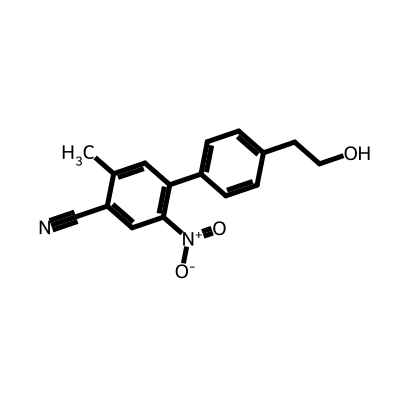 Cc1cc(-c2ccc(CCO)cc2)c([N+](=O)[O-])cc1C#N